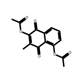 CC(=O)OC1=C(C)C(=O)c2c(OC(C)=O)cccc2C1=O